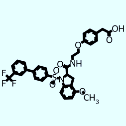 COc1cccc2c1CC(C(=O)NCCOc1ccc(CC(=O)O)cc1)N2S(=O)(=O)c1ccc(-c2cccc(C(F)(F)F)c2)cc1